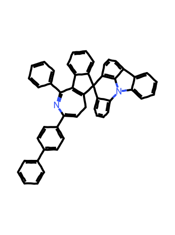 C1=C(c2ccc(-c3ccccc3)cc2)N=C(c2ccccc2)C2=C(C1)C1(c3ccccc32)c2ccccc2-n2c3ccccc3c3cccc1c32